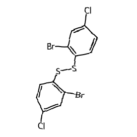 Clc1ccc(SSc2ccc(Cl)cc2Br)c(Br)c1